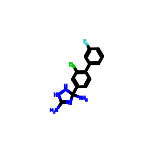 NC1=NC(N)(c2ccc(-c3cccc(F)c3)c(Cl)c2)NN1